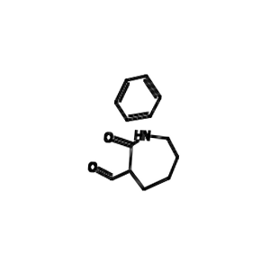 O=CC1CCCCNC1=O.c1ccccc1